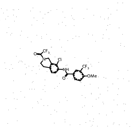 COc1ccc(C(=O)Nc2ccc3c(c2Cl)CN(C(=O)C(F)(F)F)CC3)cc1C(F)(F)F